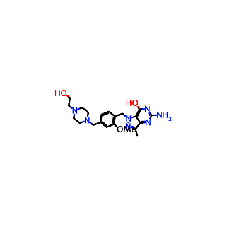 COc1cc(CN2CCN(CCO)CC2)ccc1Cn1nc(C)c2nc(N)nc(O)c21